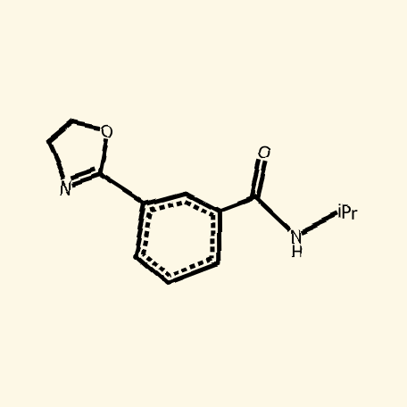 [CH2]C(C)NC(=O)c1cccc(C2=NCCO2)c1